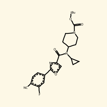 CC(C)(C)OC(=O)N1CCC(N(C(=O)c2coc(-c3ccc(C#N)c(F)c3)n2)C2CC2)CC1